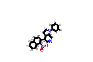 O=[N+]([O-])c1c(-c2cncc3c2ccn3-c2ccccc2)ccc2ccccc12